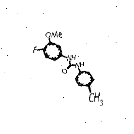 COc1cc(NC(=O)Nc2ccc(C)cc2)ccc1F